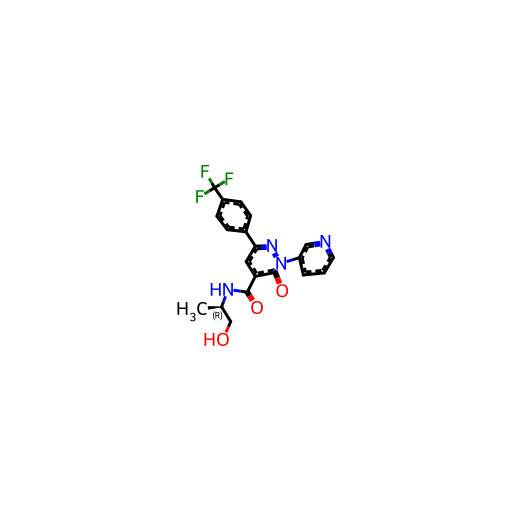 C[C@H](CO)NC(=O)c1cc(-c2ccc(C(F)(F)F)cc2)nn(-c2cccnc2)c1=O